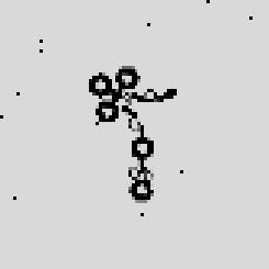 C#CCOCCN(CCOCc1ccc(-c2nc3ccccc3o2)cc1)C(c1ccccc1)(c1ccccc1)c1ccccc1